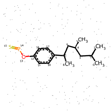 CC(C)CC(C)CC(C)c1ccc(OP=S)cc1